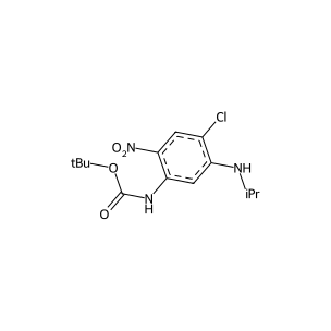 CC(C)Nc1cc(NC(=O)OC(C)(C)C)c([N+](=O)[O-])cc1Cl